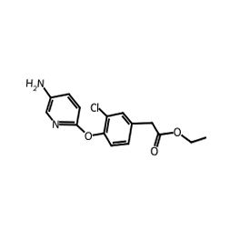 CCOC(=O)Cc1ccc(Oc2ccc(N)cn2)c(Cl)c1